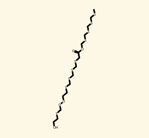 CSCSCSCSCOC(=O)CSCSCSCSCCOOCSCCO